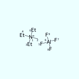 CC[N+](C)(CC)CC.[F][Al-]([F])([F])[F]